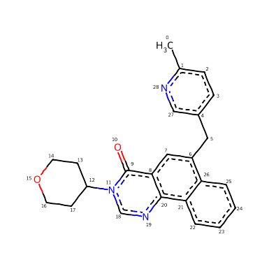 Cc1ccc(Cc2cc3c(=O)n(C4CCOCC4)cnc3c3ccccc23)cn1